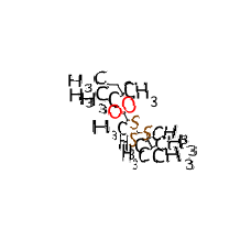 CC(C)CC(C)(C)OC(=O)C(C)SC(=S)SC(C)(C)C(C)(C)C